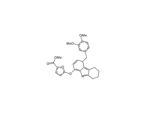 COC(=O)c1ccc(OC2=C3N=C4CCCCC4=C3C(Cc3ccc(OC)c(OC)c3)C=C2)o1